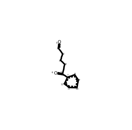 O=[C]CCCC(=O)c1ccccc1